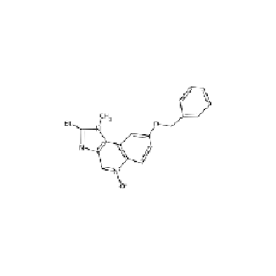 CCc1nc2c[n+]([O-])c3ccc(OCc4ccccc4)cc3c2n1C